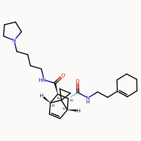 O=C(NCCCCN1CCCC1)[C@H]1[C@H](C(=O)NCCC2=CCCCC2)[C@@H]2C=C[C@H]1C21CC1